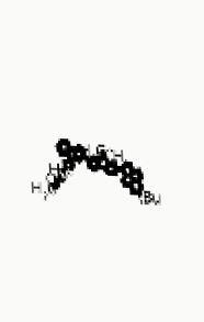 C=CC(=O)OCCCC1(C=C)c2ccccc2-c2ccc(-c3ccc4c(c3)C(C)(C)c3cc(C5=C6C=CC7=CC(C(C)(C)C)=CC8=CC=C(C=C5)C6C87)ccc3-4)cc21